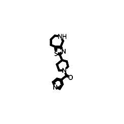 O=C(c1ccncc1)N1CCC(c2nc3c(s2)CCCNC3)CC1